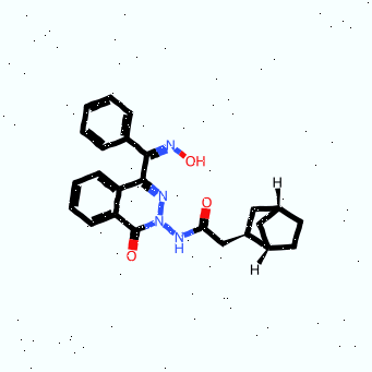 O=C(C[C@H]1C[C@@H]2CC[C@H]1C2)Nn1nc(/C(=N\O)c2ccccc2)c2ccccc2c1=O